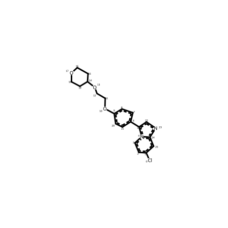 Clc1ccn2c(-c3ccc(OCCOC4CCOCC4)cc3)cnc2c1